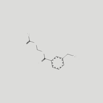 NCc1cccc(C(=O)OCOC(N)=O)c1